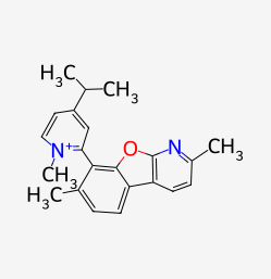 Cc1ccc2c(n1)oc1c(-c3cc(C(C)C)cc[n+]3C)c(C)ccc12